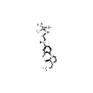 CCOC(=O)CN1CCN(c2ccc(NCCO[Si](C)(C)C(C)(C)C)cc2F)C1=O